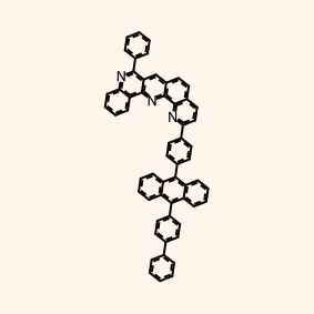 c1ccc(-c2ccc(-c3c4ccccc4c(-c4ccc(-c5ccc6ccc7cc8c(-c9ccccc9)nc9ccccc9c8nc7c6n5)cc4)c4ccccc34)cc2)cc1